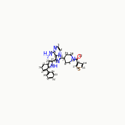 Nc1nccn2c(C3CCN(C(=O)c4ccsc4)CC3)nc(C3Cc4cccc(-c5ccccc5)c4N3)c12